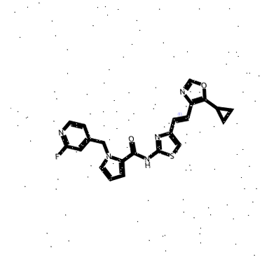 O=C(Nc1nc(/C=C/c2ncoc2C2CC2)cs1)c1cccn1Cc1ccnc(F)c1